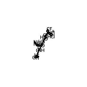 [N-]=[N+]=Nc1ccc(C(=O)NC(CCCCNC(=O)CCCC[C@@H]2SC[C@@H]3CC(=O)C[C@@H]32)C(=O)NCCSSCCC(=O)NNC(=O)/C=C/c2nn(Cc3ccc(Cl)cc3Cl)c3cc(C(F)(F)F)ccc23)cc1